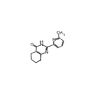 Cc1cccc(-c2nc3c(c(=O)[nH]2)CCCC3)n1